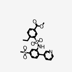 CCc1ccc(C(=O)OC)cc1S(=O)(=O)Nc1cc(S(C)(=O)=O)ccc1-c1cccnc1